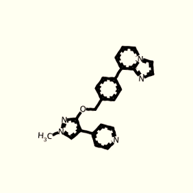 Cn1cc(-c2ccncc2)c(OCc2ccc(-c3cccn4ccnc34)cc2)n1